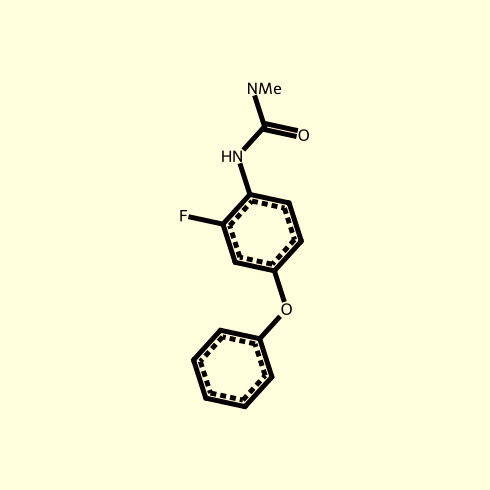 CNC(=O)Nc1ccc(Oc2ccccc2)cc1F